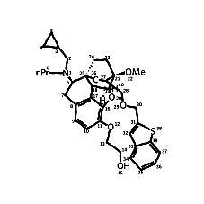 CCCN(CC1CC1)[C@@H]1Cc2ccc(OCCO)c3c2C2[C@@H](O3)[C@@]3(OC)CC[C@]21C[C@@H]3COCc1cc2ccccc2s1